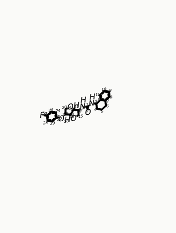 O=C(NC1CCCc2ccccc21)N[C@H]1CO[C@H]2[C@@H]1OC[C@@H]2Oc1ccc(F)cc1